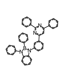 c1ccc(B2N(c3ccccc3)c3ccccc3N2c2cccc(-c3cc(-c4ccccc4)nc(-c4ccccc4)n3)c2)cc1